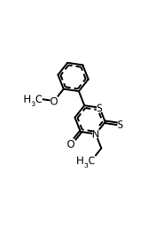 CCn1c(=O)cc(-c2ccccc2OC)sc1=S